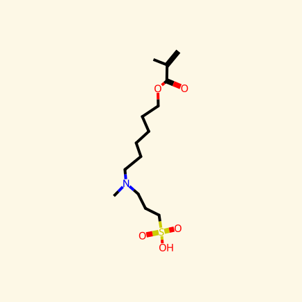 C=C(C)C(=O)OCCCCCCN(C)CCCS(=O)(=O)O